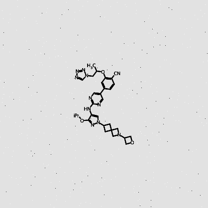 CC(C)Oc1nn(C2CC3(C2)CN(C2COC2)C3)cc1Nc1ncc(-c2ccc(C#N)c(OC(C)Cn3cnnn3)c2)cn1